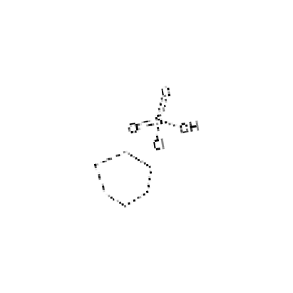 C1CCCCC1.O=S(=O)(O)Cl